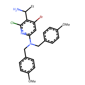 CCC(N)c1c(Br)cc(N(Cc2ccc(OC)cc2)Cc2ccc(OC)cc2)nc1Cl